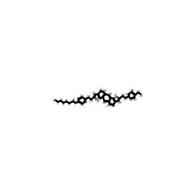 CCCCCCCCc1ccc(CCc2cc3ccc4cc5c(ccc6cc(CCc7ccc(CC)cc7)sc65)cc4c3s2)cc1